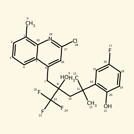 Cc1cccc2c(CC(O)(CC(C)(C)c3cc(F)ccc3O)C(F)(F)F)cc(Cl)nc12